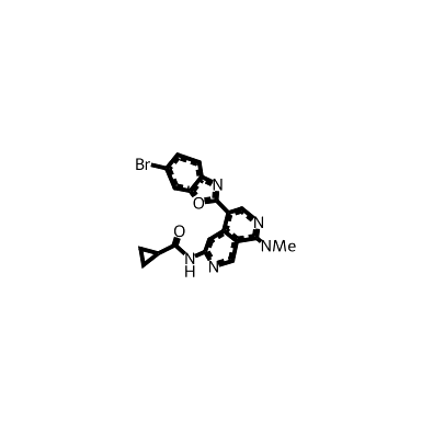 CNc1ncc(-c2nc3ccc(Br)cc3o2)c2cc(NC(=O)C3CC3)ncc12